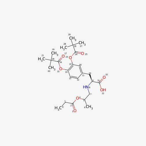 CCC(=O)OC(C)CN[C@@H](Cc1ccc(OC(=O)C(C)(C)C)c(OC(=O)C(C)(C)C)c1)C(=O)O